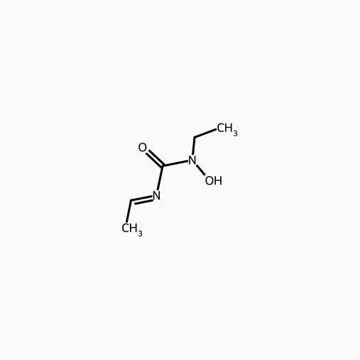 CC=NC(=O)N(O)CC